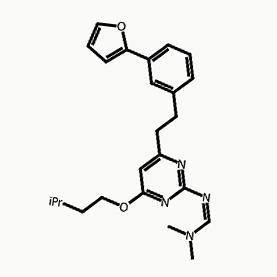 CC(C)CCOc1cc(CCc2cccc(-c3ccco3)c2)nc(/N=C\N(C)C)n1